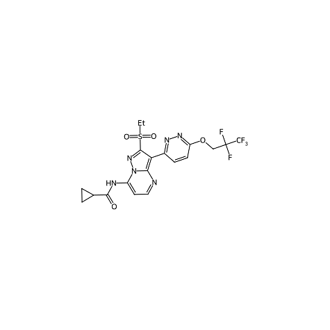 CCS(=O)(=O)c1nn2c(NC(=O)C3CC3)ccnc2c1-c1ccc(OCC(F)(F)C(F)(F)F)nn1